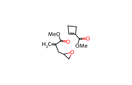 C=C(CC1CO1)C(=O)OC.COC(=O)C1=CCC1